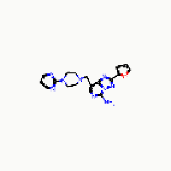 Nc1ncc(CN2CCN(c3ncccn3)CC2)c2nc(-c3ccco3)nn12